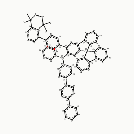 CC1(C)CCC(C)(C)c2c(-c3ccc(-c4cc5c(cc4N(c4ccccc4)c4ccc(-c6ccc(-c7ccccc7)cc6)cc4)C4(c6ccccc6-c6ccccc64)c4ccccc4-5)cc3)cccc21